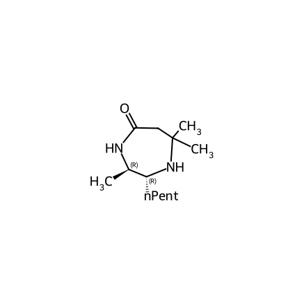 CCCCC[C@H]1NC(C)(C)CC(=O)N[C@@H]1C